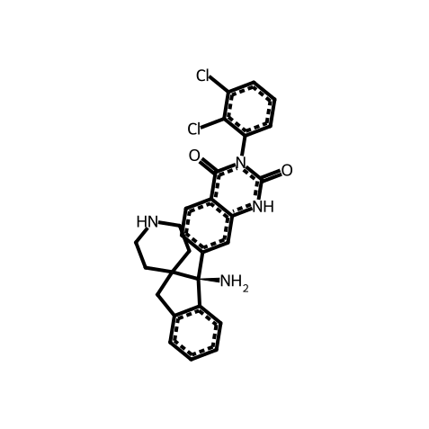 N[C@@]1(c2ccc3c(=O)n(-c4cccc(Cl)c4Cl)c(=O)[nH]c3c2)c2ccccc2CC12CCNCC2